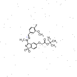 COc1cc(/C=N/N(C)C2=NS(=O)(=O)c3ccc(OCC(=O)OC(C)(C)C)cc32)ccc1F